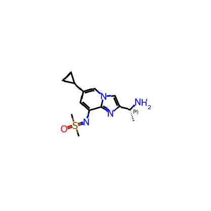 C[C@@H](N)c1cn2cc(C3CC3)cc(N=S(C)(C)=O)c2n1